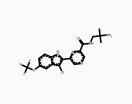 CC(C)(N)CNC(=O)c1cncc(-c2[nH]c3ccc(OC(F)(F)F)cc3c2Cl)n1